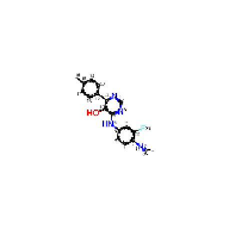 [C-]#[N+]c1ccc(Nc2ncnc(-c3ccc(C)cc3)c2O)cc1F